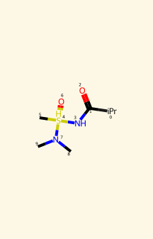 CC(C)C(=O)N[SH](C)(=O)N(C)C